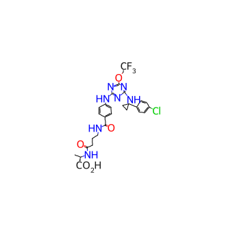 C[C@@H](NC(=O)CCCNC(=O)c1ccc(Nc2nc(NC3(c4ccc(Cl)cc4)CC3)nc(OCC(F)(F)F)n2)cc1)C(=O)O